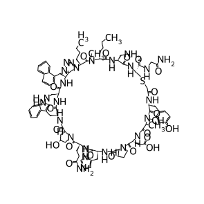 CCCC[C@H]1C(=O)N[C@@H](CN)C(=O)N[C@H](C(=O)NCC(N)=O)CSCC(=O)N[C@@H](Cc2ccc(O)cc2)C(=O)N(C)[C@@H](C)C(=O)N[C@@H](CC(=O)O)C(=O)N2CCC[C@H]2C(=O)N[C@@H](Cc2cnc[nH]2)C(=O)N[C@@H](CCC(N)=O)C(=O)N2C[C@H](O)C[C@H]2C(=O)N[C@@H](Cc2c[nH]c3ccccc23)C(=O)N[C@@H](CN)C(=O)N[C@@H](Cc2cccc3ccccc23)c2nnnn2[C@@H](CCCC)C(=O)N1C